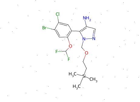 C[Si](C)(C)CCOCn1ncc(N)c1-c1cc(Cl)c(Br)cc1OC(F)F